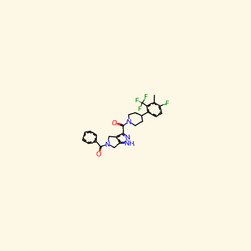 Cc1c(F)ccc(C2CCN(C(=O)c3n[nH]c4c3CN(C(=O)c3ccccc3)C4)CC2)c1C(F)(F)F